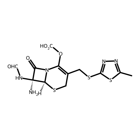 Cc1nnc(SCC2=C(OC(=O)O)N3C(=O)[C@](N)(NC=O)[C@@H]3SC2)s1